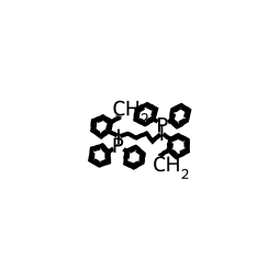 C=Cc1ccccc1I(CCCCI(c1ccccc1C=C)P(c1ccccc1)c1ccccc1)P(c1ccccc1)c1ccccc1